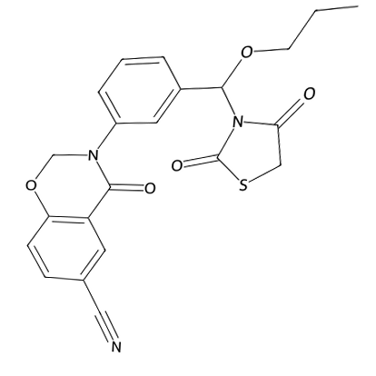 CCCOC(c1cccc(N2COc3ccc(C#N)cc3C2=O)c1)N1C(=O)CSC1=O